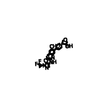 Cc1cc2cnc(Nc3cnn(C4CC4(F)F)c3C)nc2cc1C1CCN(C2COC[C@H]2O)CC1